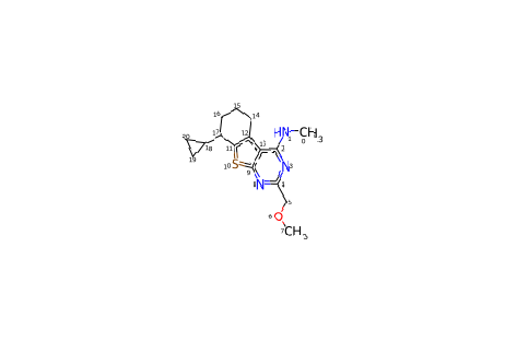 CNc1nc(COC)nc2sc3c(c12)CCCC3C1CC1